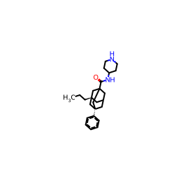 CCC[C@]12CC3CC(C(=O)NC4CCNCC4)(C1)C[C@@](c1ccccc1)(C3)C2